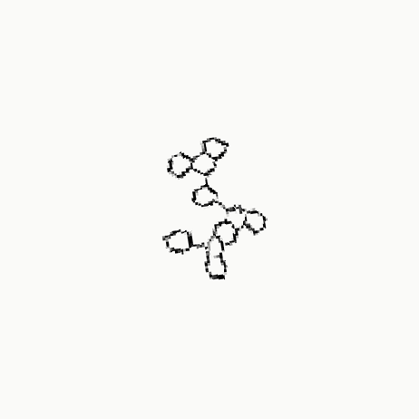 c1ccc(-n2c3ccccc3c3cc4c(cc32)c(-c2cccc(-c3cc5ccccc5c5ccccc35)c2)nc2ccccc24)cc1